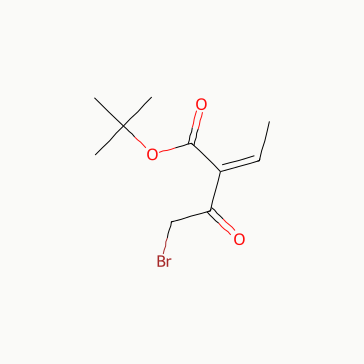 CC=C(C(=O)CBr)C(=O)OC(C)(C)C